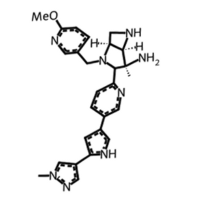 COc1ccc(CN2C(c3ccc(-c4c[nH]c(-c5cnn(C)c5)c4)cn3)[C@](C)(N)[C@@H]3NC[C@@H]32)cn1